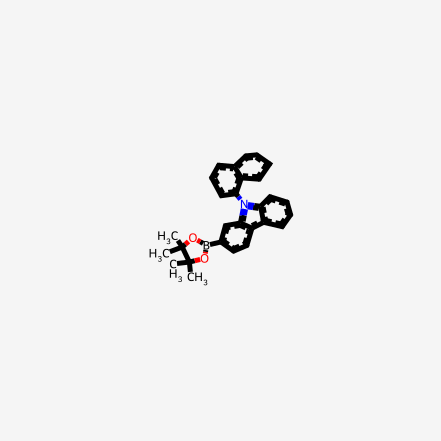 CC1(C)OB(c2ccc3c4ccccc4n(-c4cccc5ccccc45)c3c2)OC1(C)C